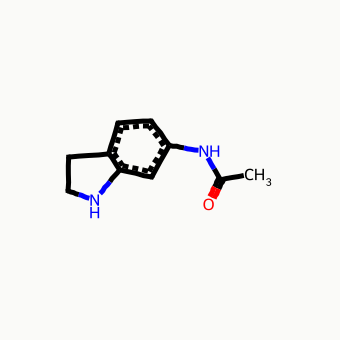 CC(=O)Nc1ccc2c(c1)NCC2